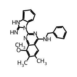 COc1c(C)c(C)cc2c(NCc3ccccc3)nc(-n3c(=N)[nH]c4ccccc43)nc12